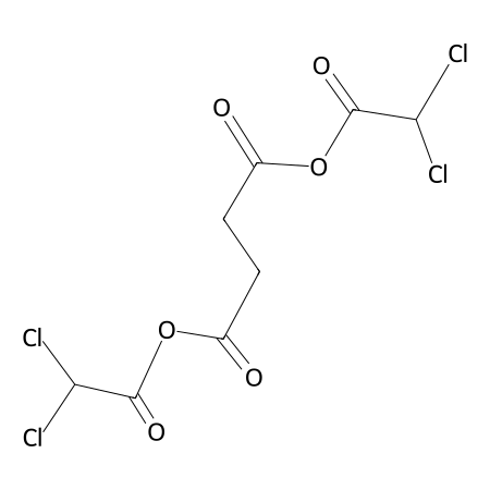 O=C(CCC(=O)OC(=O)C(Cl)Cl)OC(=O)C(Cl)Cl